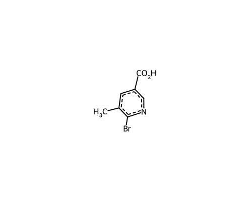 Cc1cc(C(=O)O)cnc1Br